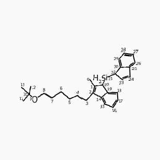 CC1=C(CCCCCCOC(C)(C)C)c2ccccc2C1[SiH2]C1C=Cc2ccccc21